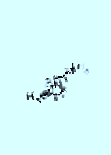 COCCCN1CCCN(C)C1=O